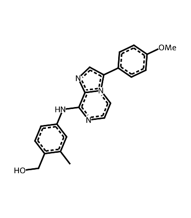 COc1ccc(-c2cnc3c(Nc4ccc(CO)c(C)c4)nccn23)cc1